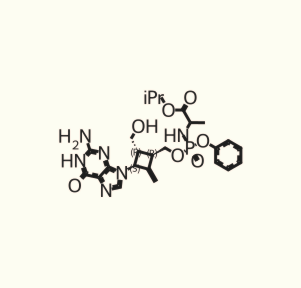 C=C1[C@@H](n2cnc3c(=O)[nH]c(N)nc32)[C@H](CO)[C@H]1COP(=O)(NC(C)C(=O)OC(C)C)Oc1ccccc1